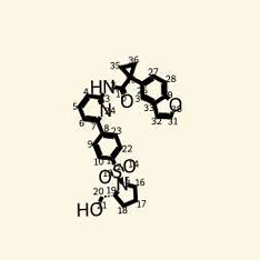 O=C(Nc1cccc(-c2ccc(S(=O)(=O)N3CCC[C@@H]3CO)cc2)n1)C1(c2ccc3occc3c2)CC1